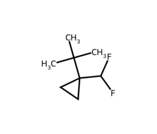 CC(C)(C)C1(C(F)F)CC1